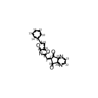 O=C1C(=Cc2nc3oc(-c4ccccc4)cc3o2)C(=O)c2nccnc21